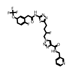 O=C(CC1=CC(OC(F)(F)F)CC=C1F)Nc1nnc(CCC(F)Cn2cc(C(=O)NCc3cccnc3)nn2)s1